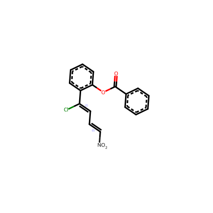 O=C(Oc1ccccc1/C(Cl)=C/C=C/[N+](=O)[O-])c1ccccc1